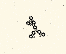 c1ccc2c(c1)Oc1c(-c3ccc(N(c4ccc5c(c4)sc4ccccc45)c4ccc5c(c4)sc4ccccc45)cc3)ccc3c4ccccc4n-2c13